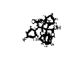 O=C(O)C(c1ccc(F)cc1)C(Oc1ccccc1)(C(=O)O)C(C(=O)O)(c1ccccc1)c1ccccc1